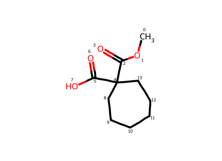 COC(=O)C1(C(=O)O)CCCCCC1